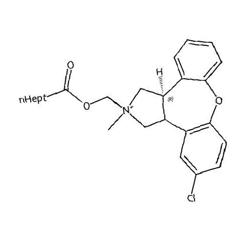 CCCCCCCC(=O)OC[N+]1(C)CC2c3cc(Cl)ccc3Oc3ccccc3[C@@H]2C1